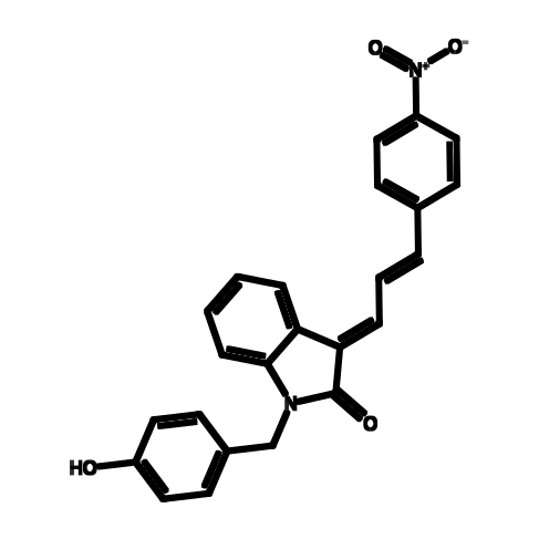 O=C1/C(=C/C=C/c2ccc([N+](=O)[O-])cc2)c2ccccc2N1Cc1ccc(O)cc1